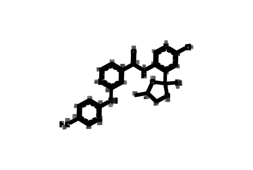 CCC1(c2cc(Cl)ncc2NC(=O)c2ccnc(Nc3ccc(C(F)(F)F)cn3)c2)OCC(C)O1